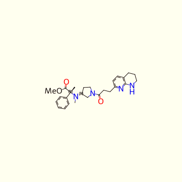 COC(=O)[C@@](C)(c1ccccc1)N(C)[C@@H]1CCN(C(=O)CCc2ccc3c(n2)NCCC3)C1